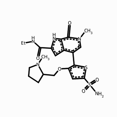 CCNC(=O)c1cc2c(-c3sc(S(N)(=O)=O)cc3OCC3CCCN3C)cn(C)c(=O)c2[nH]1